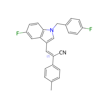 Cc1ccc(/C(C#N)=C/c2cn(Cc3ccc(F)cc3)c3ccc(F)cc23)cc1